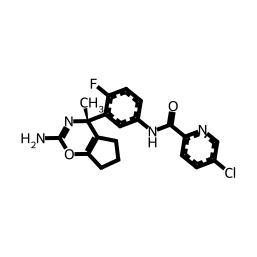 C[C@]1(c2cc(NC(=O)c3ccc(Cl)cn3)ccc2F)N=C(N)OC2=C1CCC2